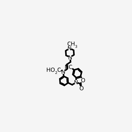 CN1CCN(CCCN(C(=O)O)c2cccc(Cn3c(=O)oc4ccc(C#N)cc43)c2)CC1